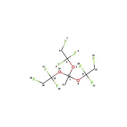 C[Si](OC(F)(F)CF)(OC(F)(F)CF)OC(F)(F)CF